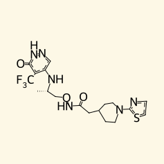 C[C@@H](CONC(=O)CC1CCN(c2nccs2)CC1)Nc1cn[nH]c(=O)c1C(F)(F)F